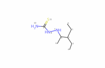 CCC(CC)C(C)NNC(N)=S